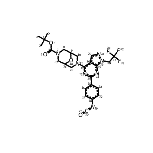 CC(C)(C)OC(=O)N1CC2CN(c3nc(-c4ccc(N=C=O)cc4)nc4c3cnn4CC(F)(F)F)CC(C1)O2